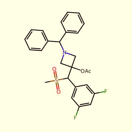 CC(=O)OC1(C(c2cc(F)cc(F)c2)S(C)(=O)=O)CN(C(c2ccccc2)c2ccccc2)C1